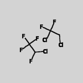 FC(Cl)C(F)(F)F.FC(F)(Cl)CCl